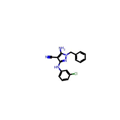 N#Cc1c(Nc2cccc(Cl)c2)nn(Cc2ccccc2)c1N